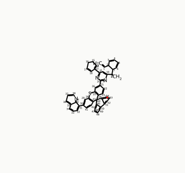 C=CC1C=CC=CC1C(=C)c1cc(C2=CCCC=C2)nc(-c2ccc3c(c2)Sc2cc(-c4cccc5cccnc45)ccc2C32c3ccccc3-c3ccccc32)n1